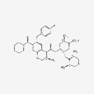 C[C@@H]1CN(CC(=O)N2c3cc(Cc4ccc(F)cc4)c(C(=O)N4CCCCC4)nc3OC[C@@H]2C)[C@@H](CN2[C@H](C)COC[C@H]2C)CN1C(=O)O